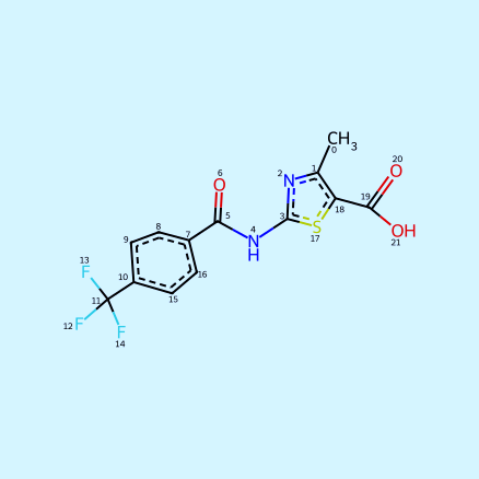 Cc1nc(NC(=O)c2ccc(C(F)(F)F)cc2)sc1C(=O)O